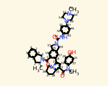 C[C@@H]1Cc2ccccc2CN1C(=O)c1cc2c(cc1-c1cc(C(=O)N(C)c3ccc(O)cc3)c3n1CCCC3)CN(C(=O)Nc1ccc(N3CCN(C)CC3)cc1)C2